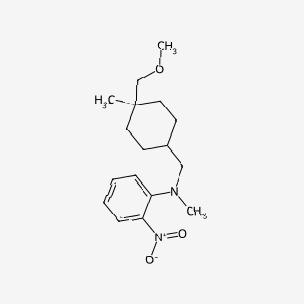 COCC1(C)CCC(CN(C)c2ccccc2[N+](=O)[O-])CC1